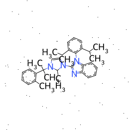 Cc1ccccc1C(C)(C)N1C=CN(c2nc3ccccc3n2-c2c(C(C)C)cccc2C(C)C)C1C